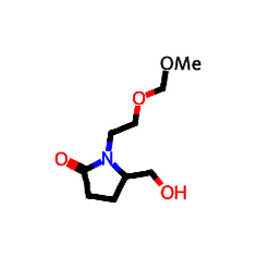 COCOCCN1C(=O)CCC1CO